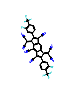 N#CC(C#N)=C1C(c2ccc(C(F)(F)F)c(F)c2)=C(C#N)c2c1cc1c(c2C#N)C(=C(C#N)C#N)C(c2ccc(C(F)(F)F)c(F)c2)=C1C#N